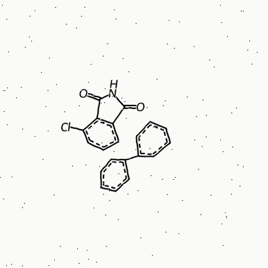 O=C1NC(=O)c2c(Cl)cccc21.c1ccc(-c2ccccc2)cc1